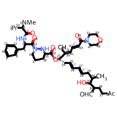 CNC(C(=O)NC(Cc1ccccc1)C(=O)N1CCCC(C(=O)O[C@@H](C/C=C/C=C/CC(C)C(O)C(C=O)CCC(C)=O)/C(C)=C/C=C/C(=O)N2CCOCC2)N1)C(C)C